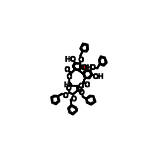 O=C1OC[C@H]2O[C@@H](OCc3ccccc3)[C@H](OCc3ccccc3)[C@@H](OCc3ccccc3)[C@@H]2OC(=O)c2cc(O)c(OCc3ccccc3)c(O)c2-c2c1cc(O)c(OCc1ccccc1)c2O